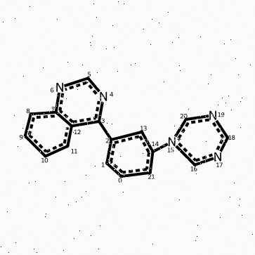 c1cc(-c2ncnc3ccccc23)cc(-[n+]2cncnc2)c1